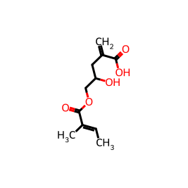 C=C(CC(O)COC(=O)C(C)=CC)C(=O)O